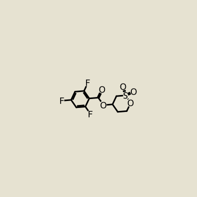 O=C(OC1CCOS(=O)(=O)C1)c1c(F)cc(F)cc1F